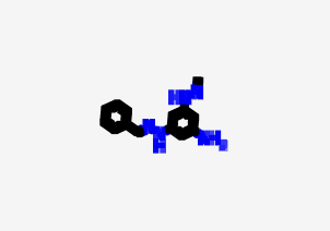 C=NNc1cc(N)cc(N/N=C/c2ccccc2)c1